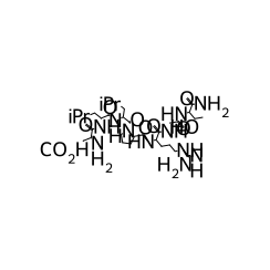 CC(C)CC(NC(=O)C(N)CC(=O)O)C(=O)NC(CC(C)C)C(=O)N1CCCC1C(=O)NC(CCCNC(=N)N)C(=O)NCC(=O)NC(C(N)=O)C(C)O